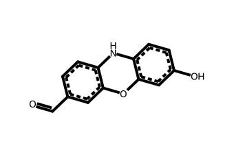 O=Cc1ccc2c(c1)Oc1cc(O)ccc1N2